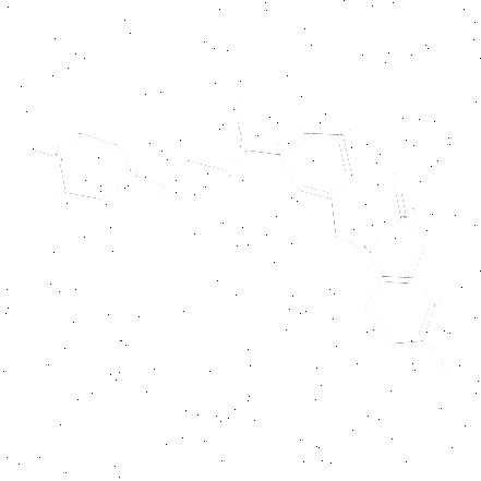 CC(=O)c1ccc2c(c1)oc(=O)n2Cc1cccc(N(CCCN2CCN(C)CC2)C(=O)O)c1